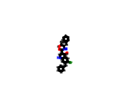 COC(=O)[C@H](Cc1ccccc1)NC(=O)c1c[nH]c2cc(Cc3ccccc3)c(Br)cc2c1=O